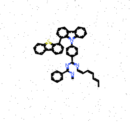 C=N\C(=N/C(=N\C=C/C=C\C=C\C)c1ccc(-n2c3ccccc3c3cccc(-c4cccc5c4sc4ccccc45)c32)cc1)c1ccccc1